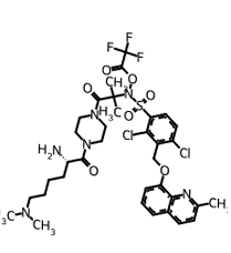 Cc1ccc2cccc(OCc3c(Cl)ccc(S(=O)(=O)N(OC(=O)C(F)(F)F)C(C)(C)C(=O)N4CCN(C(=O)[C@@H](N)CCCCN(C)C)CC4)c3Cl)c2n1